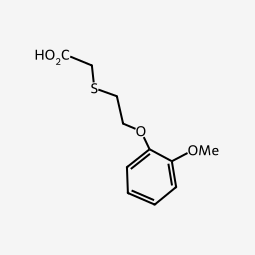 COc1ccccc1OCCSCC(=O)O